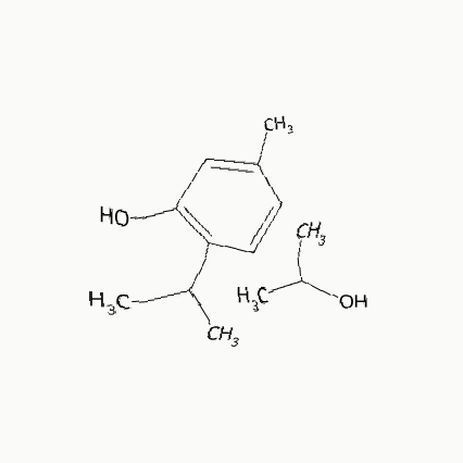 CC(C)O.Cc1ccc(C(C)C)c(O)c1